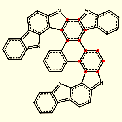 c1ccc(-c2ccc3c(c2-c2ccccc2-c2c(-c4cccc5[se]c6ccccc6c45)ccc4c2-c2c5c(ccc2=N4)=c2ccccc2=N5)-c2c4c(ccc2=N3)=c2ccccc2=N4)cc1